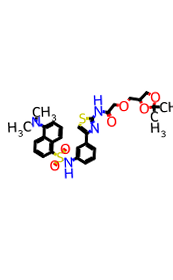 CN(C)c1cccc2c(S(=O)(=O)Nc3cccc(-c4csc(NC(=O)COCC5COC(C)(C)O5)n4)c3)cccc12